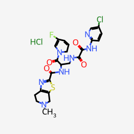 CN1CCc2nc(C(=O)NC(CNC(=O)C(=O)Nc3ccc(Cl)cn3)C(=O)N3C=C(F)C=CC3)sc2C1.Cl